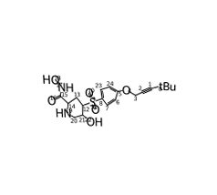 CC(C)(C)C#CCOc1ccc(S(=O)(=O)C2CC(C(=O)NO)NCC2O)cc1